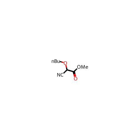 [CH2]OC(=O)C(C#N)OCCCC